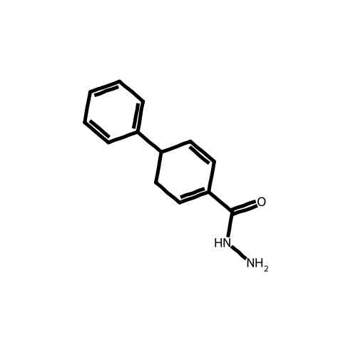 NNC(=O)C1=CCC(c2ccccc2)C=C1